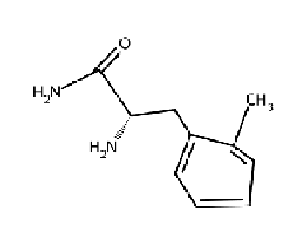 Cc1ccccc1C[C@H](N)C(N)=O